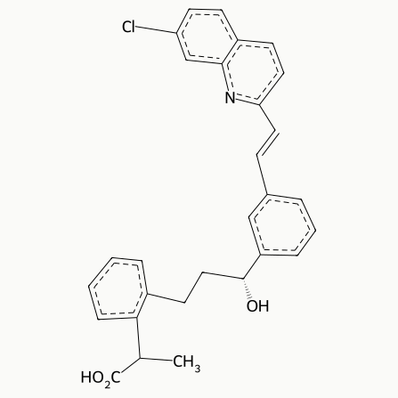 CC(C(=O)O)c1ccccc1CC[C@@H](O)c1cccc(C=Cc2ccc3ccc(Cl)cc3n2)c1